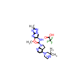 COc1nc2nc(C)nn2cc1NC(=O)N1CCc2c(N3CCNC(C)(C)C3)ccnc21.O=C(O)C(F)(F)F